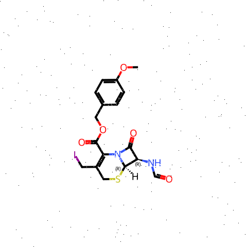 COc1ccc(COC(=O)C2=C(CI)CS[C@@H]3[C@H](NC=O)C(=O)N23)cc1